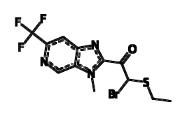 CCSC(Br)C(=O)c1nc2cc(C(F)(F)F)ncc2n1C